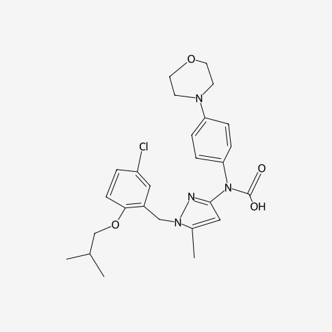 Cc1cc(N(C(=O)O)c2ccc(N3CCOCC3)cc2)nn1Cc1cc(Cl)ccc1OCC(C)C